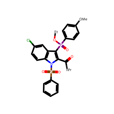 CCCC(=O)c1c(P(=O)(OCC)c2ccc(OC)cc2)c2cc(Cl)ccc2n1S(=O)(=O)c1ccccc1